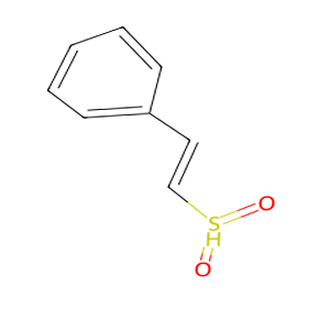 O=[SH](=O)C=Cc1ccccc1